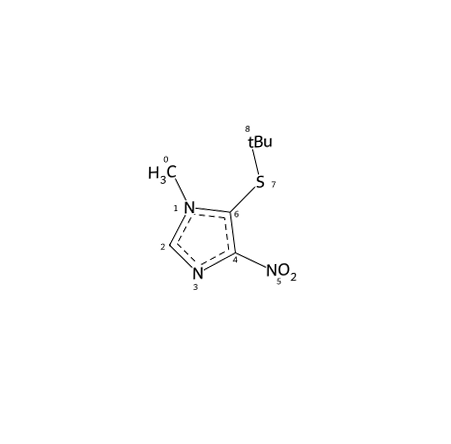 Cn1cnc([N+](=O)[O-])c1SC(C)(C)C